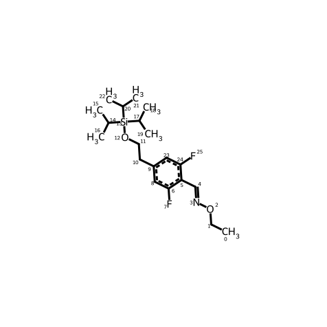 CCON=Cc1c(F)cc(CCO[Si](C(C)C)(C(C)C)C(C)C)cc1F